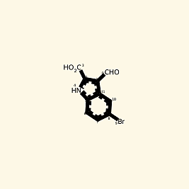 O=Cc1c(C(=O)O)[nH]c2ccc(Br)cc12